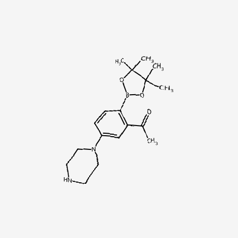 CC(=O)c1cc(N2CCNCC2)ccc1B1OC(C)(C)C(C)(C)O1